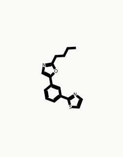 CCCCc1n[c]c(-c2cccc(-c3nccs3)c2)o1